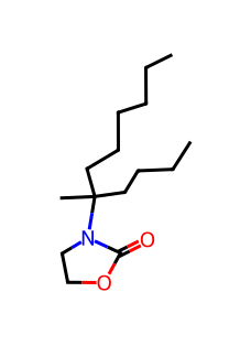 CCCCCCC(C)(CCCC)N1CCOC1=O